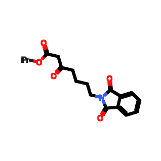 CC(C)OC(=O)CC(=O)CCCCN1C(=O)c2ccccc2C1=O